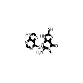 CSc1ncnc2[nH]cnc12.Cn1c(N)nc2[nH]c(S)nc2c1=O